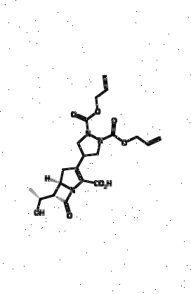 C=CCOC(=O)N1CC(C2=C(C(=O)O)N3C(=O)[C@H]([C@@H](C)O)[C@H]3C2)CN1C(=O)OCC=C